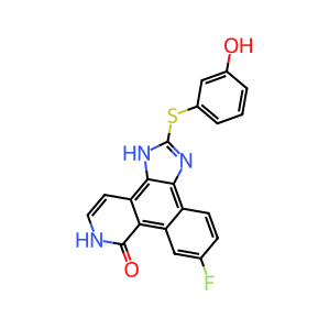 O=c1[nH]ccc2c3[nH]c(Sc4cccc(O)c4)nc3c3ccc(F)cc3c12